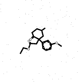 CCOC(=O)CC1(c2cccc(OC)c2)CC(C)CCC1=O